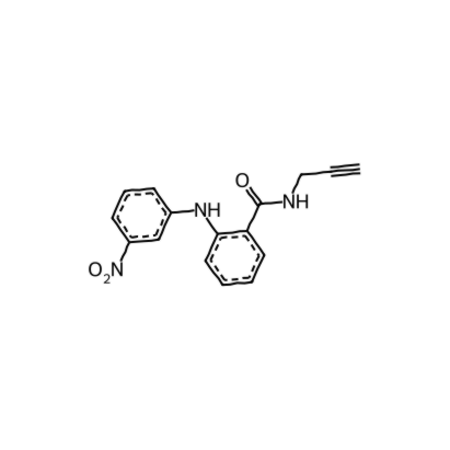 C#CCNC(=O)c1ccccc1Nc1cccc([N+](=O)[O-])c1